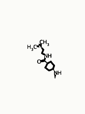 CN(C)CCNC(=O)[C@H]1CC[C@H](NI)CC1